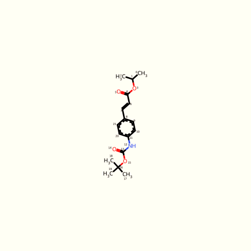 CC(C)OC(=O)C=Cc1ccc(NC(=O)OC(C)(C)C)cc1